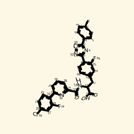 Cc1ccc(-c2nc(-c3ccc(CC(NC(=O)c4cccc(-c5ccc(Cl)cc5F)n4)C(=O)O)cc3F)no2)cc1